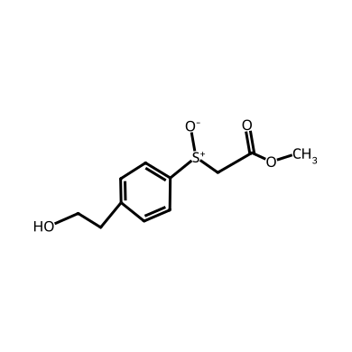 COC(=O)C[S+]([O-])c1ccc(CCO)cc1